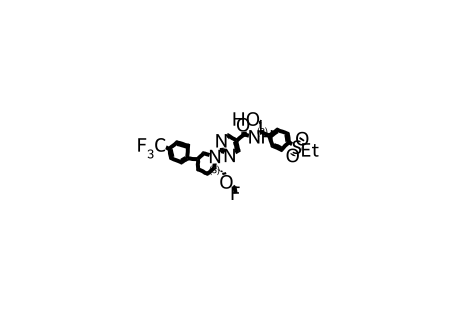 CCS(=O)(=O)c1ccc([C@H](CO)NC(=O)c2cnc(N3CC(c4ccc(C(F)(F)F)cc4)CC[C@H]3COCF)nc2)cc1